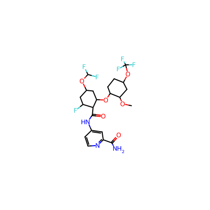 COC1CC(OC(F)(F)F)CCC1OC1CC(OC(F)F)CC(F)C1C(=O)Nc1ccnc(C(N)=O)c1